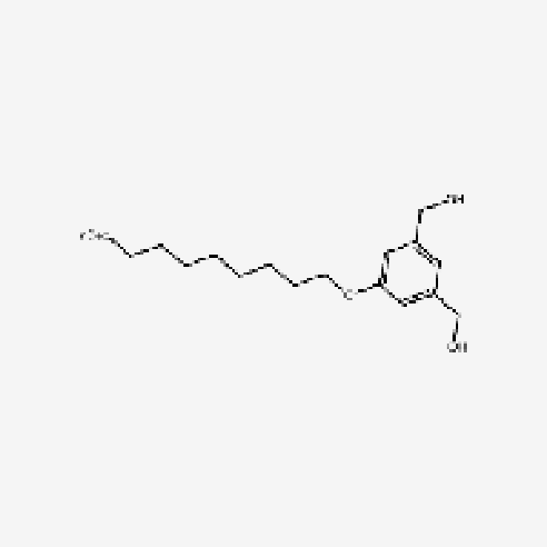 CCCCCCCCCCCCCCCCCCOc1cc(CO)cc(CO)c1